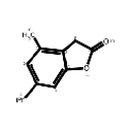 Cc1cc(C(C)C)cc2c1CC(=O)O2